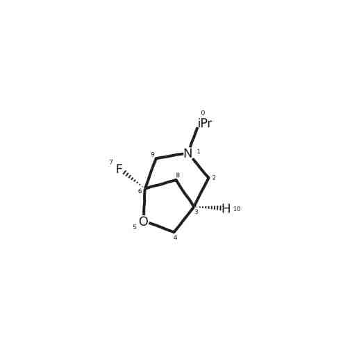 CC(C)N1C[C@H]2CO[C@](F)(C2)C1